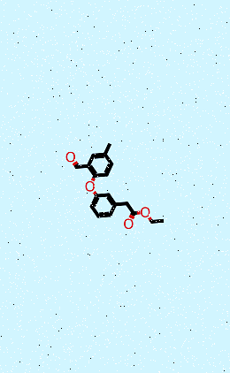 CCOC(=O)Cc1cccc(Oc2ccc(C)cc2C=O)c1